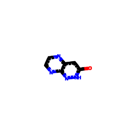 O=c1cc2nccnc2n[nH]1